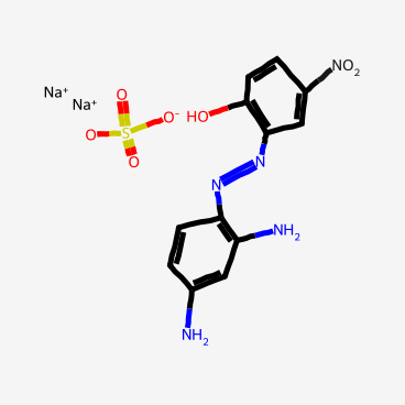 Nc1ccc(N=Nc2cc([N+](=O)[O-])ccc2O)c(N)c1.O=S(=O)([O-])[O-].[Na+].[Na+]